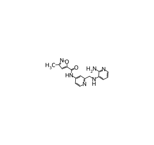 Cc1cc(C(=O)Nc2ccnc(CNc3cccnc3N)c2)on1